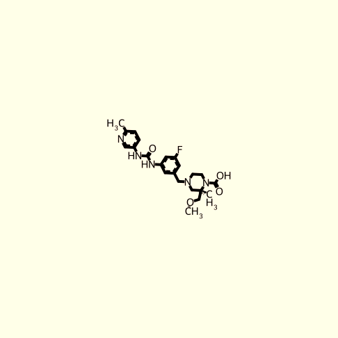 COC[C@]1(C)CN(Cc2cc(F)cc(NC(=O)Nc3ccc(C)nc3)c2)CCN1C(=O)O